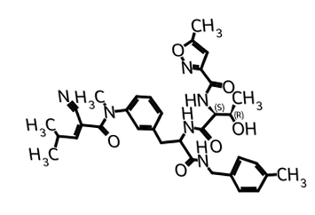 Cc1ccc(CNC(=O)C(Cc2cccc(N(C)C(=O)C(C#N)=CC(C)C)c2)NC(=O)[C@@H](NC(=O)c2cc(C)on2)[C@@H](C)O)cc1